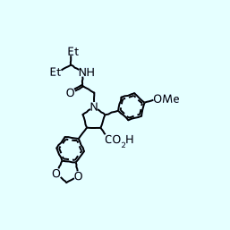 CCC(CC)NC(=O)CN1CC(c2ccc3c(c2)OCO3)C(C(=O)O)C1c1ccc(OC)cc1